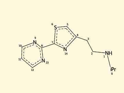 CC(C)NCCc1csc(-c2ncccn2)n1